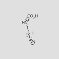 O=C(CCSSc1ccccn1)NCCCCCCNc1ccc(C(=O)O)cc1